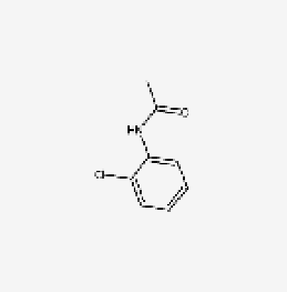 CC(=O)Nc1c[c]ccc1Cl